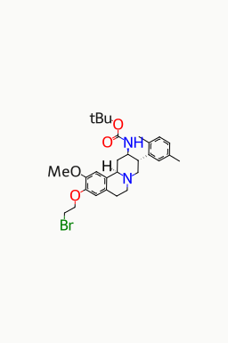 COc1cc2c(cc1OCCBr)CCN1C[C@@H](c3cc(C)ccc3C)[C@H](NC(=O)OC(C)(C)C)C[C@H]21